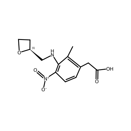 Cc1c(CC(=O)O)ccc([N+](=O)[O-])c1NC[C@@H]1CCO1